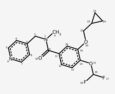 CN(Cc1ccncc1)C(=O)c1ccc(OC(F)F)c(OCC2CC2)c1